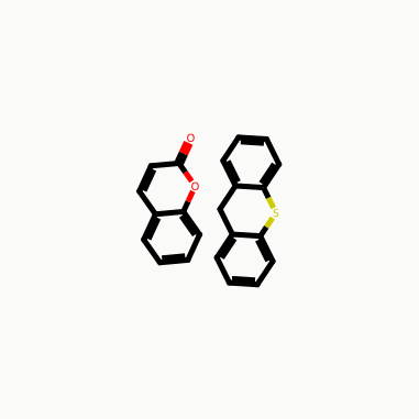 O=c1ccc2ccccc2o1.c1ccc2c(c1)Cc1ccccc1S2